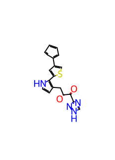 O=C(Cc1cc[nH]c1-c1cc(-c2ccccc2)cs1)C(=O)c1nc[nH]n1